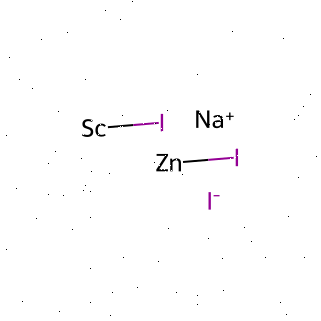 [I-].[Na+].[Sc][I].[Zn][I]